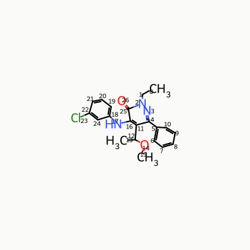 CCn1nc(-c2ccccc2)c(C(C)OC)c(Nc2cccc(Cl)c2)c1=O